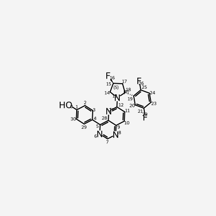 Oc1ccc(-c2ncnc3ccc(N4C[C@@H](F)C[C@@H]4c4cc(F)ccc4F)nc23)cc1